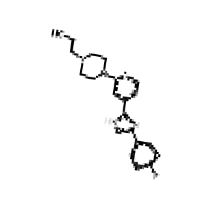 OCCN1CCN(c2cc(-c3nc(-c4ccc(F)cc4)c[nH]3)ccn2)CC1